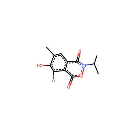 Cc1cc2c(=O)n(C(C)C)oc(=O)c2c(Cl)c1O